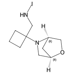 INCC1(N2C[C@H]3C[C@@H]2CO3)CCC1